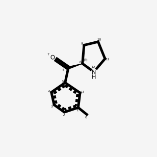 Cc1cccc(C(=O)[C@H]2CCCN2)c1